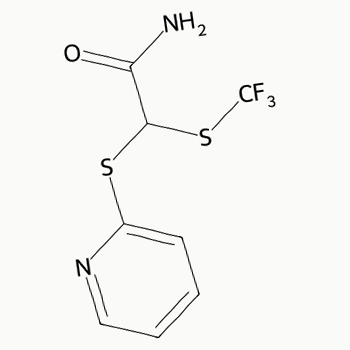 NC(=O)C(Sc1ccccn1)SC(F)(F)F